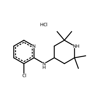 CC1(C)CC(Nc2ncccc2Cl)CC(C)(C)N1.Cl